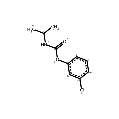 CC(C)NC(=O)Oc1cccc(Cl)c1